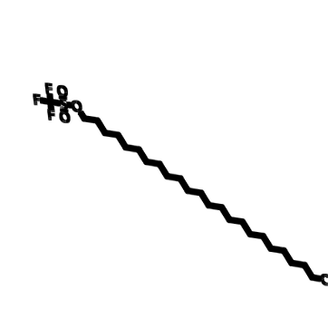 CCCCCCCCCCCCCCCCCCCCCCCCOS(=O)(=O)C(F)(F)F